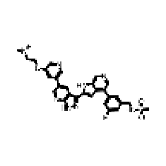 CN(C)CCOc1cncc(-c2cnc3[nH]nc(-c4cc5c(-c6cc(F)cc(CNS(C)(=O)=O)c6)cncc5[nH]4)c3c2)c1